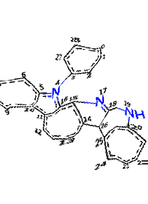 c1ccc(-n2c3ccccc3c3ccc4c(c32)N=C2Nc3ccccc3C24)cc1